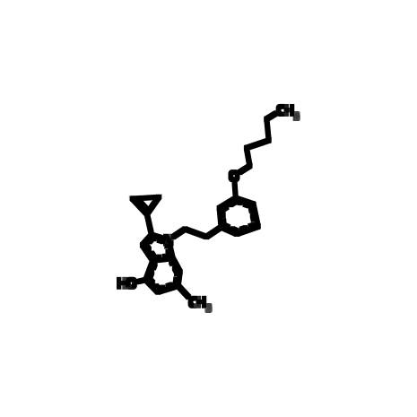 CCCCCOc1cccc(CCn2c(C3=CC3)cc3c(O)cc(C)cc32)c1